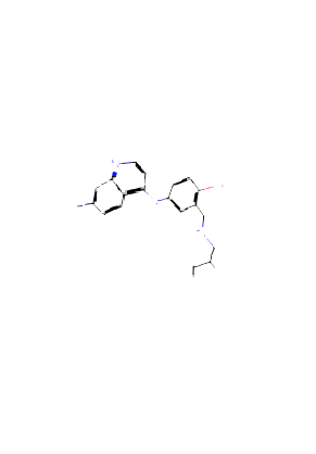 CCC(C)CNCc1cc(Nc2ccnc3cc(I)ccc23)ccc1O